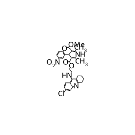 COC(=O)C1=C(C)NC(C)=C(C(=O)OCCNc2c3c(nc4cc(Cl)ccc24)CCCC3)C1c1cccc([N+](=O)[O-])c1